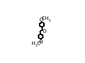 COc1ccc([CH]C(=O)c2ccc(OC)cc2)cc1